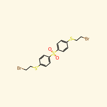 O=S(=O)(c1ccc(SCCBr)cc1)c1ccc(SCCBr)cc1